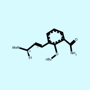 CCCCOc1c(/C=C/[C@@H](CC)NC)cccc1C(N)=O